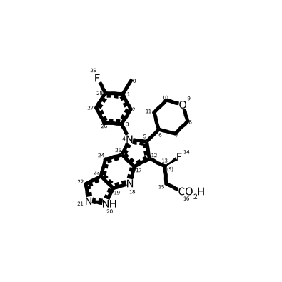 Cc1cc(-n2c(C3CCOCC3)c([C@@H](F)CC(=O)O)c3nc4[nH]ncc4cc32)ccc1F